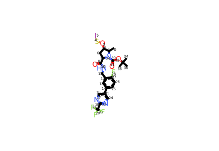 CC1C(OSI)CC(C(=O)NCc2cc(-c3cnc(C(F)(F)F)nc3)ccc2F)N1C(=O)OC(C)(C)C